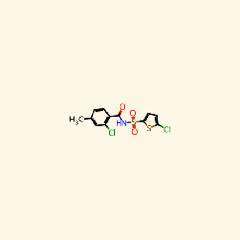 Cc1ccc(C(=O)NS(=O)(=O)c2ccc(Cl)s2)c(Cl)c1